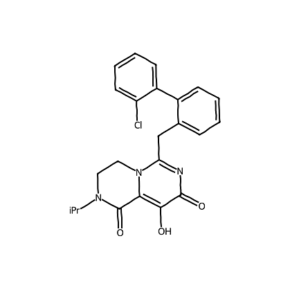 CC(C)N1CCn2c(Cc3ccccc3-c3ccccc3Cl)nc(=O)c(O)c2C1=O